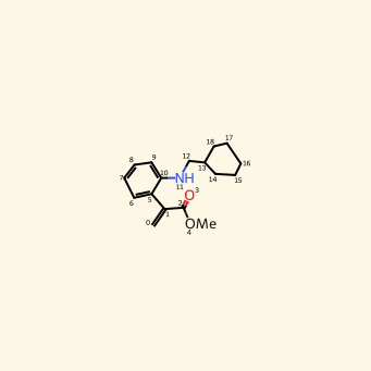 C=C(C(=O)OC)c1ccccc1NCC1CCCCC1